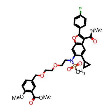 CNC(=O)c1c(-c2ccc(F)cc2)oc2cc(N(CCOCCOCc3ccc(OC)c(C(=O)OC)c3)S(C)(=O)=O)c(C3CC3)cc12